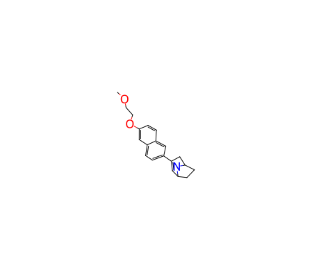 COCCOc1ccc2cc(C3=CC4CCC(C3)N4C)ccc2c1